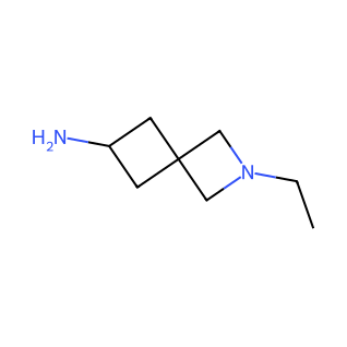 CCN1CC2(CC(N)C2)C1